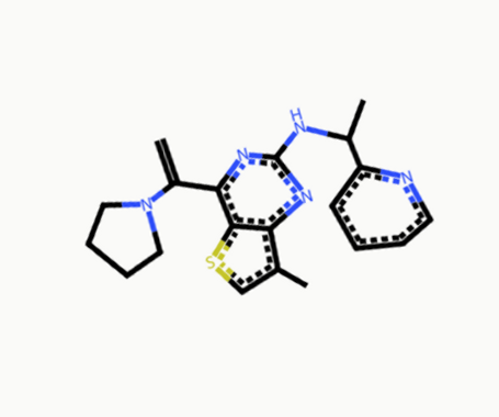 C=C(c1nc(NC(C)c2ccccn2)nc2c(C)csc12)N1CCCC1